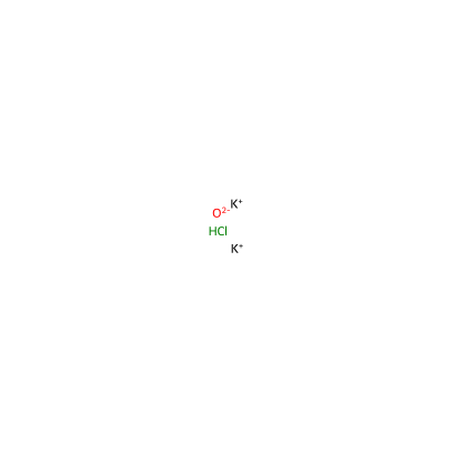 Cl.[K+].[K+].[O-2]